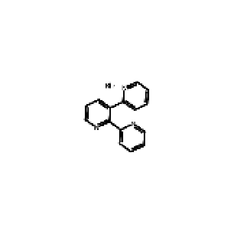 [Rh].c1ccc(-c2cccnc2-c2ccccn2)nc1